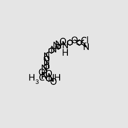 CN(C(=O)Cc1ccc(N2CCN(CC3CCN(c4ccc(C(=O)N[C@H]5CC[C@H](Oc6ccc(C#N)c(Cl)c6)CC5)nn4)CC3)CC2)cn1)C1CCC(=O)NC1=O